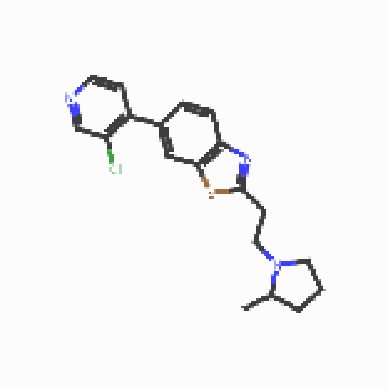 CC1CCCN1CCc1nc2ccc(-c3ccncc3Cl)cc2s1